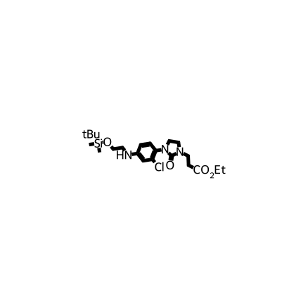 CCOC(=O)CCN1CCN(c2ccc(NCCO[Si](C)(C)C(C)(C)C)cc2Cl)C1=O